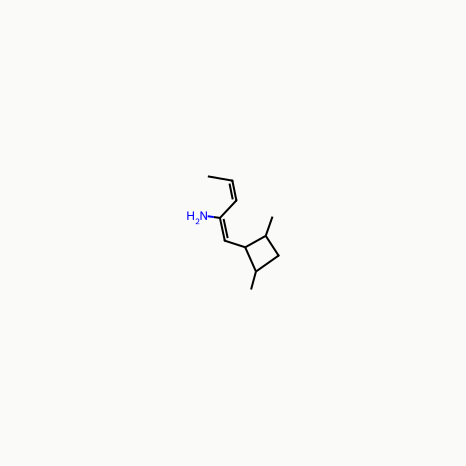 C/C=C\C(N)=C/C1C(C)CC1C